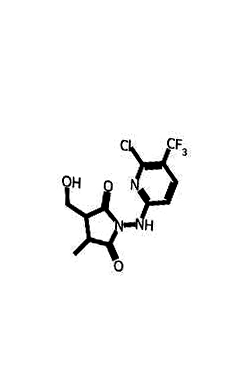 CC1C(=O)N(Nc2ccc(C(F)(F)F)c(Cl)n2)C(=O)C1CO